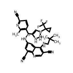 Cc1nc(C#N)ccc1[C@H](Nc1cc(C#N)c2ncc(C#N)c(NCC(C)(C)C)c2c1)C1=CN(C2(C(F)(F)F)CC2)NN1